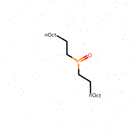 CCCCCCCCCC[P](=O)CCCCCCCCCC